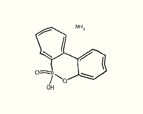 N.O=P1(O)Oc2ccccc2-c2ccccc21